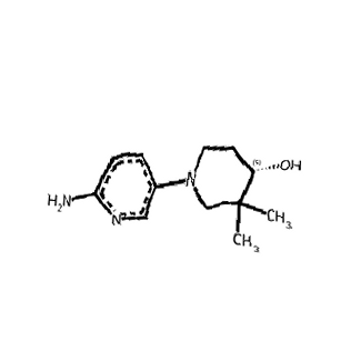 CC1(C)CN(c2ccc(N)nc2)CC[C@@H]1O